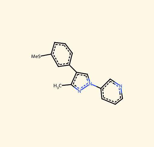 CSc1cccc(-c2cn(-c3cccnc3)nc2C)c1